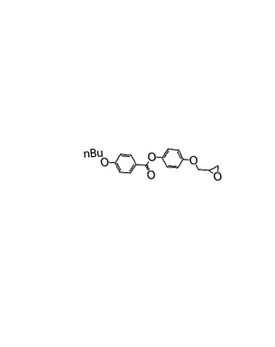 CCCCOc1ccc(C(=O)Oc2ccc(OCC3CO3)cc2)cc1